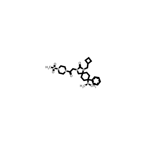 CN(C)C1(c2ccccc2)CCC2(CC1)CN(CC(=O)N1CCN(S(C)(=O)=O)CC1)C(=O)N2CC1CCC1